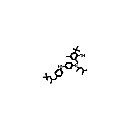 Cc1cc(CN(c2ccc(Nc3ccc(CC(C)CC(C)(C)C)cc3)cc2)C(C)CC(C)C)c(O)c(C(C)(C)C)c1